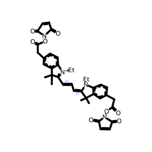 CCN1/C(=C\C=C\C2=[N+](CC)c3ccc(CC(=O)ON4C(=O)C=CC4=O)cc3C2(C)C)C(C)(C)c2cc(CC(=O)ON3C(=O)C=CC3=O)ccc21